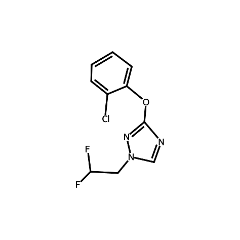 FC(F)Cn1cnc(Oc2ccccc2Cl)n1